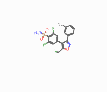 N#Cc1cccc(-c2noc(CF)c2-c2cc(F)c(S(N)(=O)=O)c(F)c2)c1